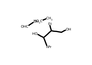 CC(=O)O.CCCC(O)C(CC)CO.O=CO